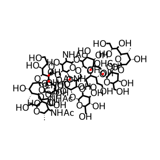 CC(=O)NC1C(OC2[C@@H](OCC3O[C@@H](O[C@@H]4C(CO)O[C@@H](O[C@@H]5C(CO)O[C@@H](C)C(NC(C)=O)[C@H]5O)C(NC(C)=O)[C@H]4O)C(O)[C@@H](O[C@H]4OC(CO)[C@@H](O)C(O)C4O[C@@H]4OC(CO)[C@@H](O[C@@H]5OC(CO)[C@H](O)[C@H](O[C@]6(OC=O)C[C@@H](O)[C@@H](C)C(C(O)[C@H](O)CO)O6)C5O)[C@H](O)C4NC(C)=O)[C@@H]3O)OC(CO)[C@@H](O)[C@@H]2O)O[C@@H](CO)[C@@H](O[C@@H]2OC(CO)[C@H](O)[C@H](O[C@]3(OC=O)C[C@@H](O)[C@@H](C)C(C(O)[C@H](O)CO)O3)C2O)C1O